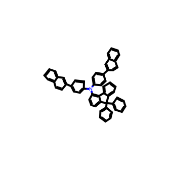 c1ccc(C2(c3ccccc3)c3ccccc3-c3c(N(c4ccc(-c5ccc6ccccc6c5)cc4)c4ccc(-c5ccc6ccccc6c5)cc4)cccc32)cc1